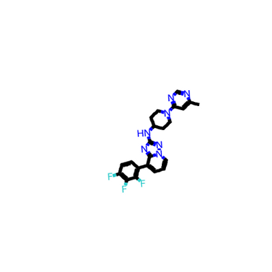 Cc1cc(N2CCC(Nc3nc4c(-c5ccc(F)c(F)c5F)cccn4n3)CC2)ncn1